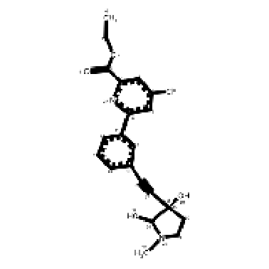 CCOC(=O)c1cc(Cl)cc(-c2cccc(C#C[C@]3(O)CCN(C)C3O)c2)n1